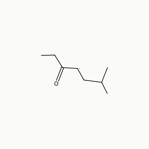 CCC(=O)[CH]CC(C)C